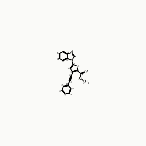 COC(=O)c1sc(-n2cnc3ccccc32)cc1C#Cc1ccccc1